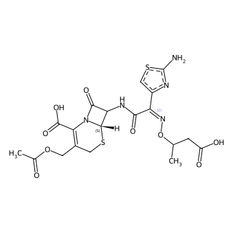 CC(=O)OCC1=C(C(=O)O)N2C(=O)C(NC(=O)/C(=N\OC(C)CC(=O)O)c3csc(N)n3)[C@@H]2SC1